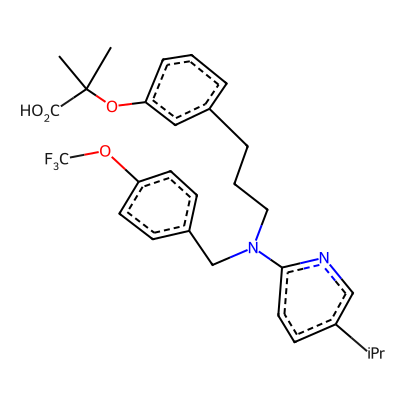 CC(C)c1ccc(N(CCCc2cccc(OC(C)(C)C(=O)O)c2)Cc2ccc(OC(F)(F)F)cc2)nc1